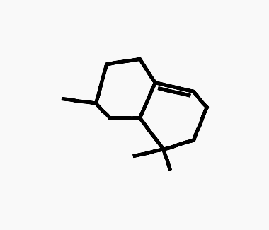 CC1CCC2=CCCC(C)(C)C2C1